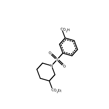 CCOC(=O)C1CCCN(S(=O)(=O)c2cccc(C(=O)O)c2)C1